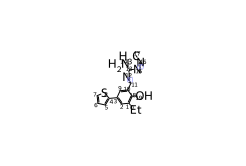 CCc1cc(-c2cccs2)cc(/C=N/C(N)/N=N\C)c1O